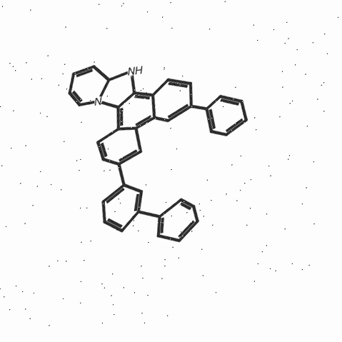 C1=CC2Nc3c(c4ccc(-c5cccc(-c6ccccc6)c5)cc4c4cc(-c5ccccc5)ccc34)N2C=C1